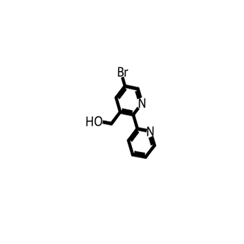 OCc1cc(Br)cnc1-c1ccccn1